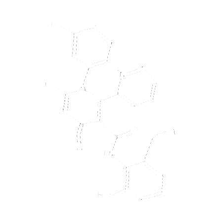 CCc1cccc(C)c1NC(=O)c1c(-c2ccccn2)n(-c2cccc(C)c2)c(C)cc1=O